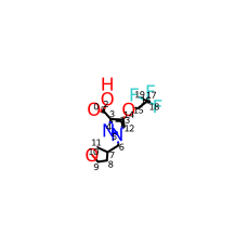 O=C(O)c1nn(CC2CCOC2)cc1OCC(F)(F)F